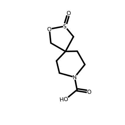 O=C(O)N1CCC2(CC1)COS(=O)C2